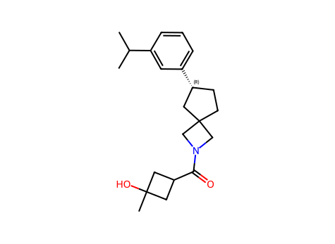 CC(C)c1cccc([C@@H]2CCC3(C2)CN(C(=O)C2CC(C)(O)C2)C3)c1